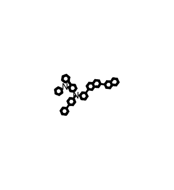 c1ccc(-c2ccc(N(c3cccc(-c4ccc5ccc(-c6ccc7ccccc7c6)cc5c4)c3)c3ccc4c5ccccc5n(-c5ccccc5)c4c3)cc2)cc1